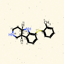 Cc1ccccc1Sc1cccc2c1N[C@H]1CCNC[C@@H]21